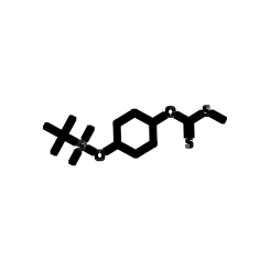 CSC(=S)OC1CCC(O[Si](C)(C)C(C)(C)C)CC1